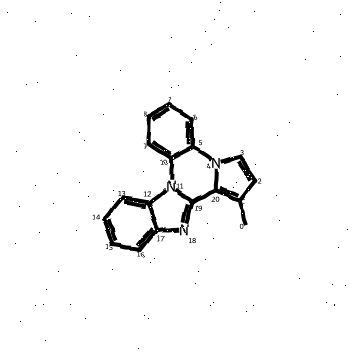 Cc1ccn2c3ccccc3n3c4ccccc4nc3c12